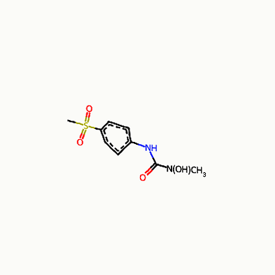 CN(O)C(=O)Nc1ccc(S(C)(=O)=O)cc1